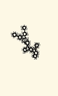 c1ccc(-c2ccc(-c3nc4ccc(-n5c6ccccc6c6cc7c8c9ccccc9ccc8n(-c8ccccc8)c7cc65)cc4nc3-c3ccc(-c4ccccc4)cc3)cc2)cc1